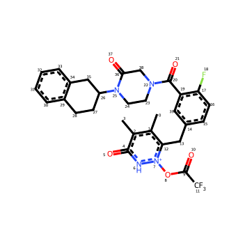 Cc1c(C)c(=O)[nH][n+](OC(=O)C(F)(F)F)c1Cc1ccc(F)c(C(=O)N2CCN(C3CCc4ccccc4C3)C(=O)C2)c1